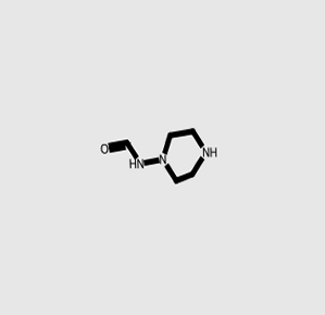 O=[C]NN1CCNCC1